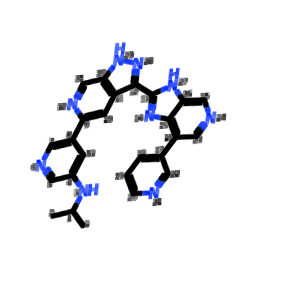 CC(C)Nc1cncc(-c2cc3c(-c4nc5c(-c6cccnc6)cncc5[nH]4)n[nH]c3cn2)c1